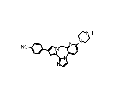 N#Cc1ccc(-c2cc3n(c2)Cc2nc(N4CCNCC4)ccc2-n2ccnc2-3)cc1